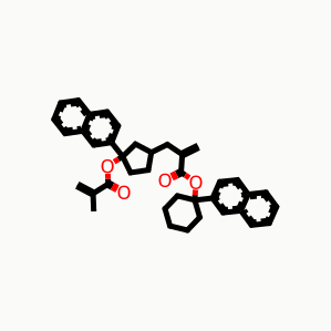 C=C(C)C(=O)OC1(c2ccc3ccccc3c2)CCC(CC(=C)C(=O)OC2(c3ccc4ccccc4c3)CCCCC2)C1